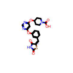 O=C1NC(=O)/C(=C\c2cccc(Oc3cc(OC4CCN(C(=O)O)CC4)ncn3)c2)S1